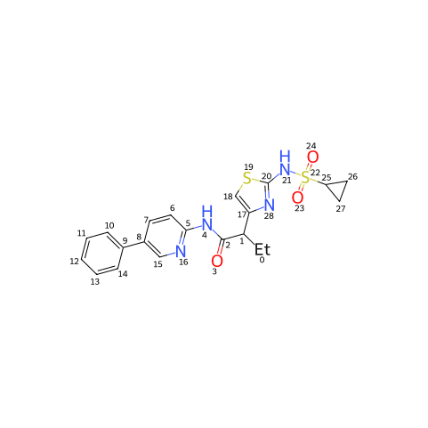 CCC(C(=O)Nc1ccc(-c2ccccc2)cn1)c1csc(NS(=O)(=O)C2CC2)n1